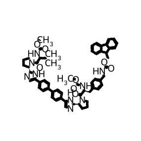 COC(=O)N[C@@H](Cc1ccc(CNC(=O)OCC2c3ccccc3-c3ccccc32)cc1)C(=O)N1CCC[C@H]1c1ncc(-c2ccc(-c3ccc(-c4cnc([C@@H]5CCCN5C(=O)[C@@H](NC(=O)OC)C(C)C)[nH]4)cc3)cc2)[nH]1